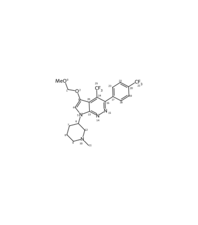 COCOc1cn(C2CCCN(C)C2)c2nnc(-c3ccc(C(F)(F)F)cc3)c(C(F)(F)F)c12